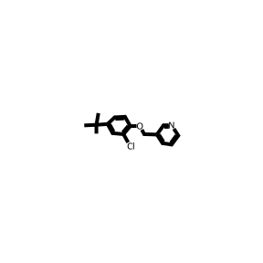 CC(C)(C)c1ccc(OCc2cccnc2)c(Cl)c1